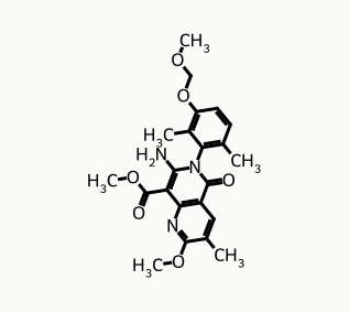 COCOc1ccc(C)c(-n2c(N)c(C(=O)OC)c3nc(OC)c(C)cc3c2=O)c1C